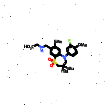 CCCCC1(CCCC)CN(c2ccc(OC)c(F)c2)c2cc(SC)c(CNCC(=O)O)cc2S(=O)(=O)C1